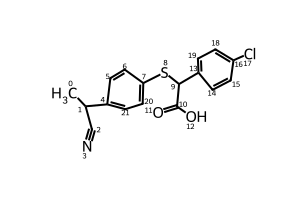 CC(C#N)c1ccc(SC(C(=O)O)c2ccc(Cl)cc2)cc1